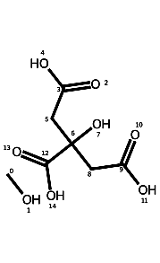 CO.O=C(O)CC(O)(CC(=O)O)C(=O)O